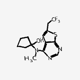 CN(c1ncnc2sc(CC(F)(F)F)cc12)C1(O)CCCC1